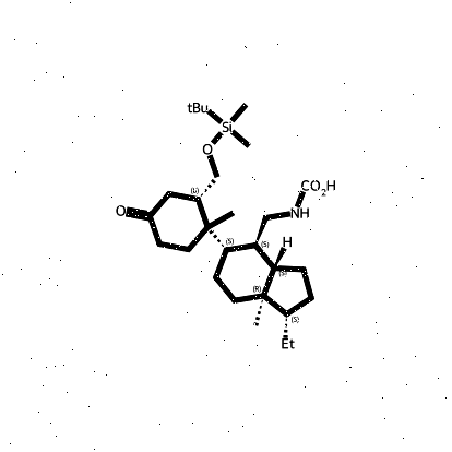 CC[C@H]1CC[C@H]2[C@H](CNC(=O)O)[C@@H](C3(C)CCC(=O)C[C@@H]3CO[Si](C)(C)C(C)(C)C)CC[C@]12C